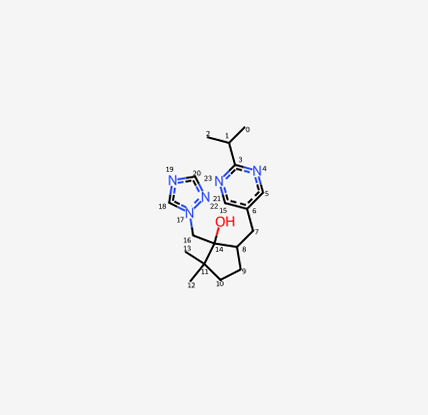 CC(C)c1ncc(CC2CCC(C)(C)C2(O)Cn2cncn2)cn1